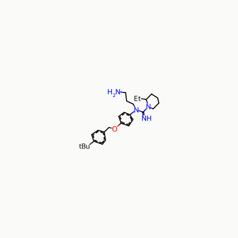 CCC1CCCCN1C(=N)N(CCCN)c1ccc(OCc2ccc(C(C)(C)C)cc2)cc1